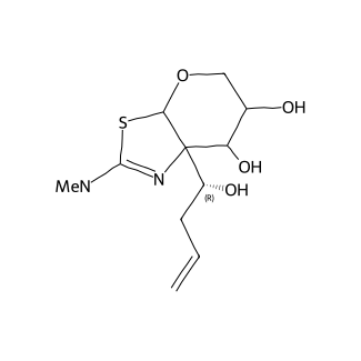 C=CC[C@@H](O)C12N=C(NC)SC1OCC(O)C2O